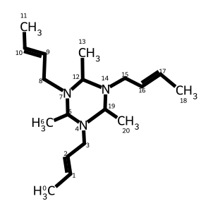 C/C=C/CN1C(C)N(C/C=C/C)C(C)N(C/C=C/C)C1C